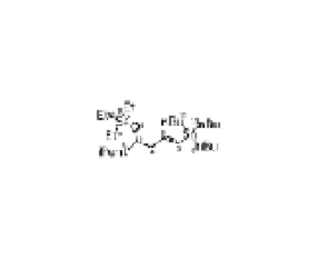 CCC[CH2][Sn](/[CH]=C/CC(O[Si](CC)(CC)CC)C(C)CCC)([CH2]CCC)[CH2]CCC